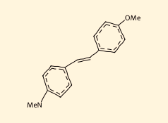 CNc1ccc(C=Cc2ccc(OC)cc2)cc1